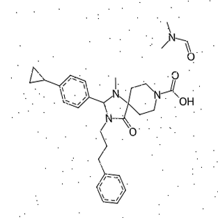 CN(C)C=O.CN1C(c2ccc(C3CC3)cc2)N(CCCc2ccccc2)C(=O)C12CCN(C(=O)O)CC2